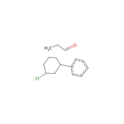 CCC=O.ClC1CCCC(c2ccccc2)C1